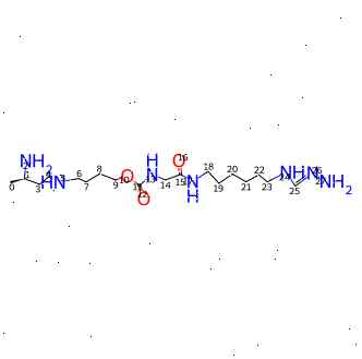 C[C@@H](N)CCNCCCCOC(=O)NCC(=O)NCCCCCCNC=NN